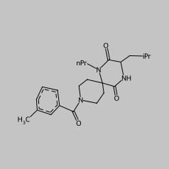 CCCN1C(=O)C(CC(C)C)NC(=O)C12CCN(C(=O)c1cccc(C)c1)CC2